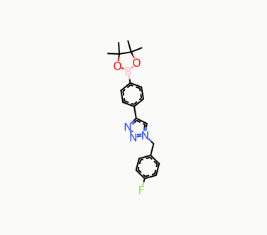 CC1(C)OB(c2ccc(-c3cn(Cc4ccc(F)cc4)nn3)cc2)OC1(C)C